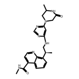 CNC(=O)c1ccnc2c([C@H](C)CNc3cc(N4CC(=O)NC(C)C4)ncn3)cccc12